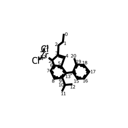 CCCC1=Cc2c(ccc(C(C)C)c2-c2ccccc2C)[CH]1[Zr]([Cl])[Cl]